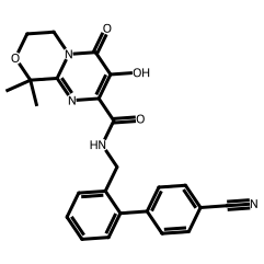 CC1(C)OCCn2c1nc(C(=O)NCc1ccccc1-c1ccc(C#N)cc1)c(O)c2=O